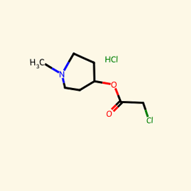 CN1CCC(OC(=O)CCl)CC1.Cl